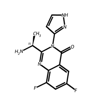 C[C@H](N)c1nc2c(F)cc(F)cc2c(=O)n1-c1cc[nH]n1